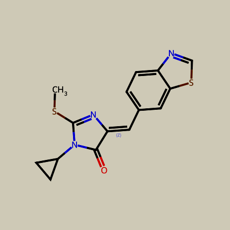 CSC1=N/C(=C\c2ccc3ncsc3c2)C(=O)N1C1CC1